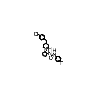 O=C(Nc1ccc(F)cc1)N[C@@H]1CCC[C@H]1N1CCC(Cc2ccc(Cl)cc2)CC1